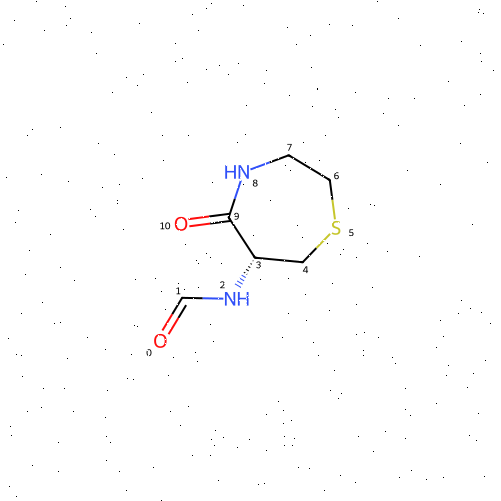 O=CN[C@H]1CSCCNC1=O